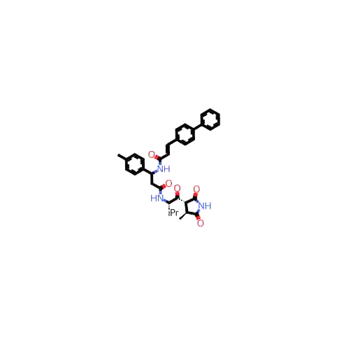 Cc1ccc(C(CC(=O)N[C@H](C(=O)[C@@H]2C(=O)NC(=O)[C@H]2C)C(C)C)NC(=O)/C=C/c2ccc(-c3ccccc3)cc2)cc1